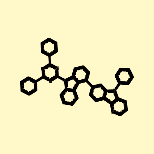 c1ccc(-c2nc(-c3ccccc3)nc(-n3c4ccccc4c4c(-c5ccc6c7ncccc7n(-c7ccccc7)c6c5)cccc43)n2)cc1